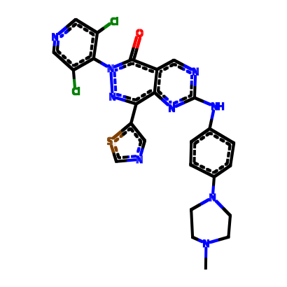 CN1CCN(c2ccc(Nc3ncc4c(=O)n(-c5c(Cl)cncc5Cl)nc(-c5cncs5)c4n3)cc2)CC1